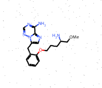 COC[C@H](N)CCCOc1ccccc1Cc1cnc2c(N)ncnn12